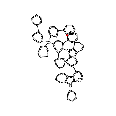 c1cccc(-c2cc(S(c3ccccc3)(c3cccc(-c4ccccc4)c3)c3cccc(-c4ccccc4)c3)cc(-c3ccccc3)c2-n2c3c(c4cc(-c5cccc6c5c5ccccc5n6-c5ccccc5)ccc42)C=CCC3)c#1